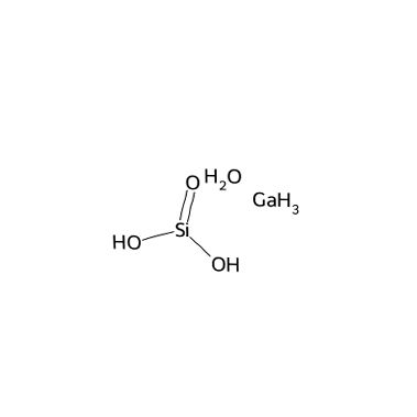 O.O=[Si](O)O.[GaH3]